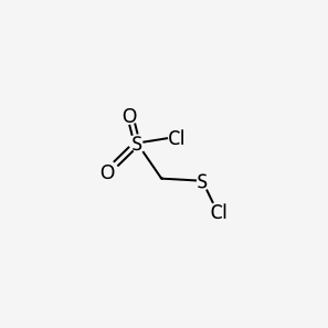 O=S(=O)(Cl)CSCl